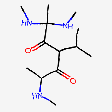 CNC(C)C(=O)C(C(=O)C(C)(NC)NC)C(C)C